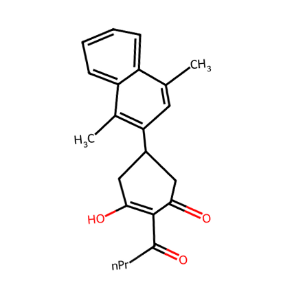 CCCC(=O)C1=C(O)CC(c2cc(C)c3ccccc3c2C)CC1=O